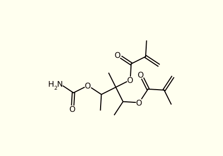 C=C(C)C(=O)OC(C)C(C)(OC(=O)C(=C)C)C(C)OC(N)=O